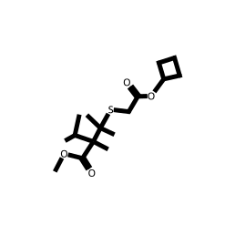 COC(=O)C(C)(C(C)C)C(C)(C)SCC(=O)OC1CCC1